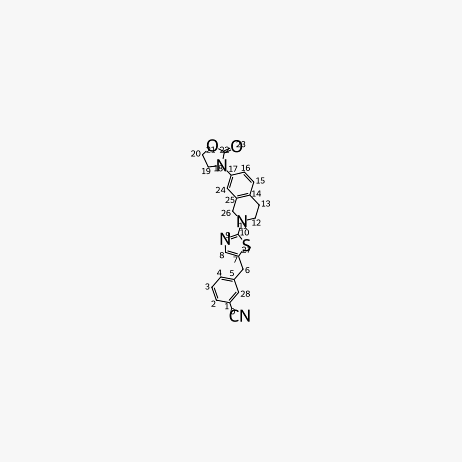 N#Cc1cccc(Cc2cnc(N3CCc4ccc(N5CCOC5=O)cc4C3)s2)c1